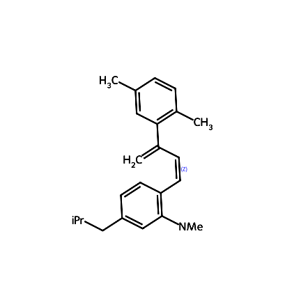 C=C(/C=C\c1ccc(CC(C)C)cc1NC)c1cc(C)ccc1C